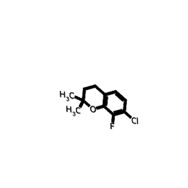 CC1(C)CCc2ccc(Cl)c(F)c2O1